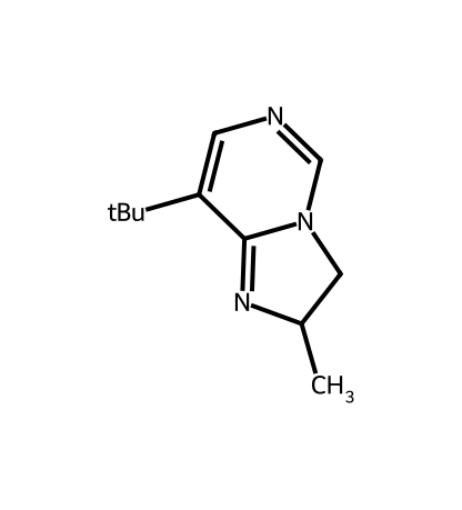 CC1CN2C=NC=C(C(C)(C)C)C2=N1